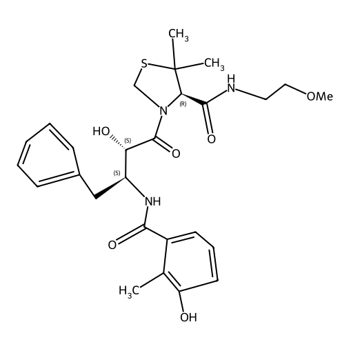 COCCNC(=O)[C@H]1N(C(=O)[C@@H](O)[C@H](Cc2ccccc2)NC(=O)c2cccc(O)c2C)CSC1(C)C